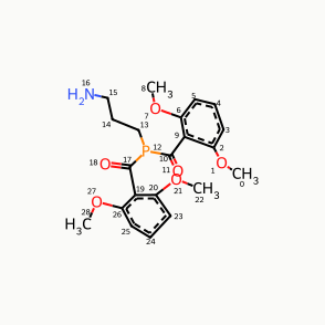 COc1cccc(OC)c1C(=O)P(CCCN)C(=O)c1c(OC)cccc1OC